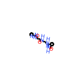 O=C(CCc1nc(-c2ccccn2)no1)NCCCNc1n[nH]c(=O)c2ccccc12